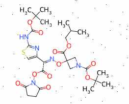 CC(C)COC(=O)C1(O/N=C(\C(=O)ON2C(=O)CCC2=O)c2csc(NC(=O)OC(C)(C)C)n2)CN(C(=O)OC(C)(C)C)C1